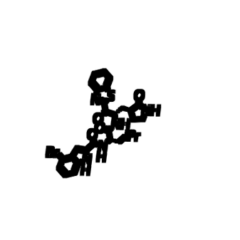 CC(C)C[C@H](NC(=O)c1cc2c(Br)cccc2[nH]1)C(=O)N[C@@H](C[C@@H]1CCNC1=O)C(=O)c1nc2ccccc2s1